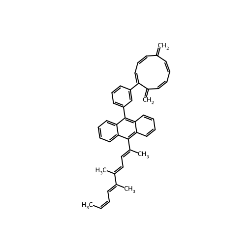 C=c1ccccc(=C)c(-c2cccc(-c3c4ccccc4c(/C(C)=C/C=C(C)/C(C)=C/C=C\C)c4ccccc34)c2)ccc1